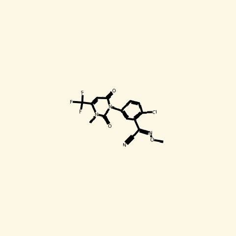 CON=C(C#N)c1cc(-n2c(=O)cc(C(F)(F)F)n(C)c2=O)ccc1Cl